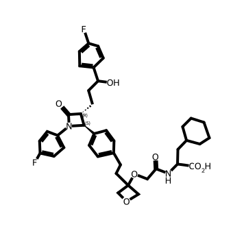 O=C(COC1(CCc2ccc([C@@H]3[C@@H](CCC(O)c4ccc(F)cc4)C(=O)N3c3ccc(F)cc3)cc2)COC1)NC(CC1CCCCC1)C(=O)O